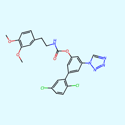 COc1ccc(CCNC(=O)Oc2cc(-c3cc(Cl)ccc3Cl)cc(-n3cnnn3)c2)cc1OC